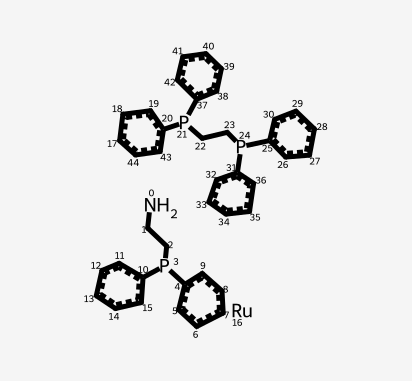 NCCP(c1ccccc1)c1ccccc1.[Ru].c1ccc(P(CCP(c2ccccc2)c2ccccc2)c2ccccc2)cc1